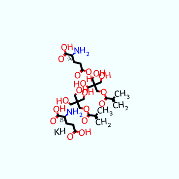 C=C(C)C(=O)OCC(CO)(CO)CO.C=C(C)C(=O)OCC(CO)(CO)CO.N[C@@H](CCC(=O)O)C(=O)O.N[C@@H](CCC(=O)O)C(=O)O.[KH]